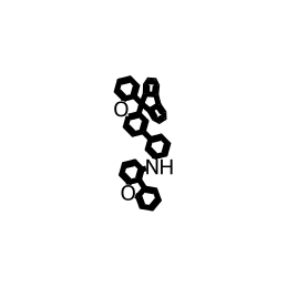 c1cc(Nc2cccc3oc4ccccc4c23)cc(-c2ccc3c(c2)C2(c4ccccc4O3)c3ccccc3-c3ccccc32)c1